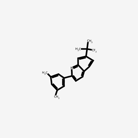 Cc1cc(C)cc(-c2ccc3ccc(C(C)(C)C(F)(F)F)cc3n2)c1